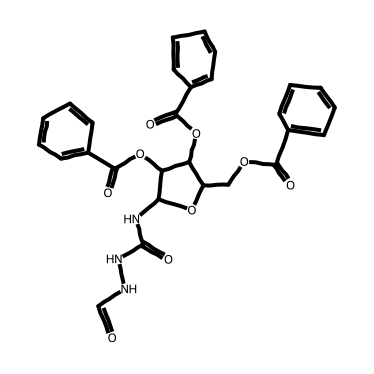 O=CNNC(=O)NC1OC(COC(=O)c2ccccc2)C(OC(=O)c2ccccc2)C1OC(=O)c1ccccc1